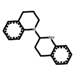 [C]1Cc2ccccc2N(C2CCc3ccccc3N2)C1